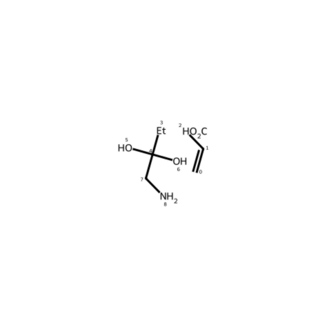 C=CC(=O)O.CCC(O)(O)CN